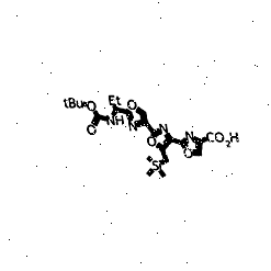 CCC(NC(=O)OC(C)(C)C)c1nc(-c2nc(-c3nc(C(=O)O)co3)c(C[Si](C)(C)C)o2)co1